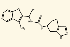 Cc1c(C(NC(=O)NC2CCc3cn[nH]c3C2)C(C)C)oc2ccccc12